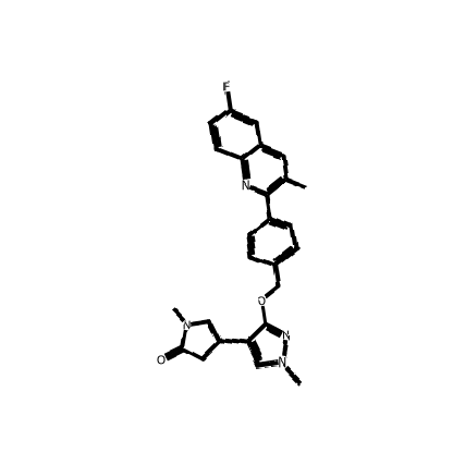 Cc1cc2cc(F)ccc2nc1-c1ccc(COc2nn(C)cc2C2CC(=O)N(C)C2)cc1